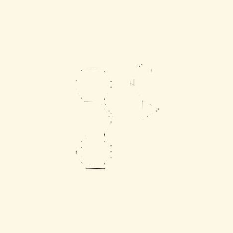 CN(C1CC1)C1CCCCC1=Cc1ccccc1